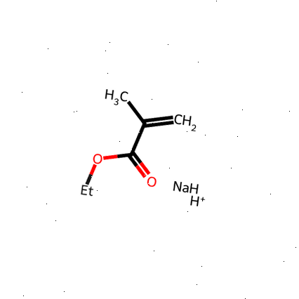 C=C(C)C(=O)OCC.[H+].[NaH]